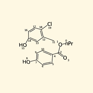 CCCOC(=O)c1ccc(O)cc1.Cc1cc(O)ccc1Cl